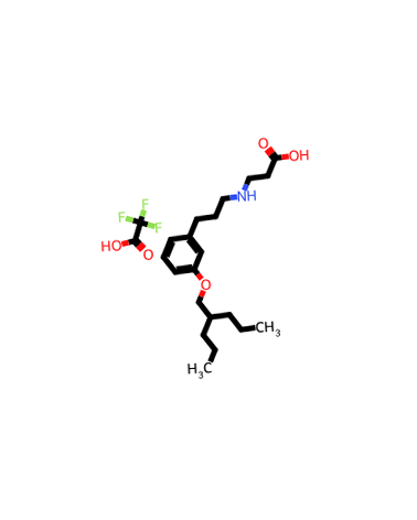 CCCC(CCC)COc1cccc(CCCNCCC(=O)O)c1.O=C(O)C(F)(F)F